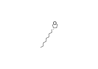 C1CCOC1.[CH2]CCCCCCCC